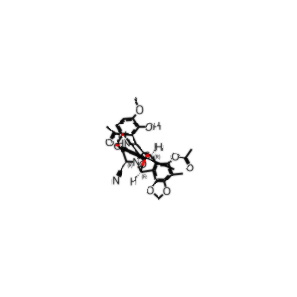 COc1ccc2c(c1O)C1NC(C2)[C@H](C#N)N2C1[C@@H]1SCC(NC(C)=O)C(=O)OC[C@H]2c2c3c(c(C)c(OC(C)=O)c21)OCO3